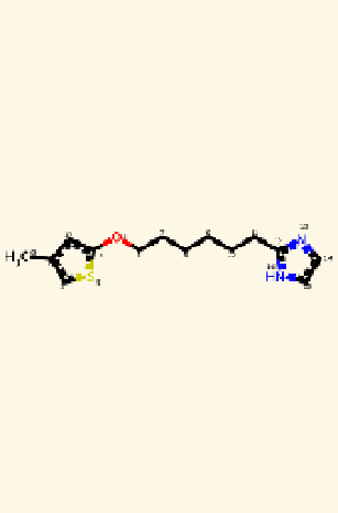 Cc1csc(OCCCCCCc2ncc[nH]2)c1